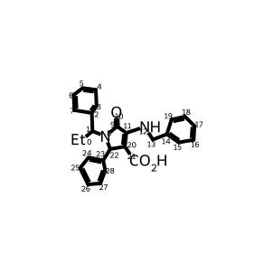 CCC(c1ccccc1)N1C(=O)C(NCc2ccccc2)=C(C(=O)O)C1c1ccccc1